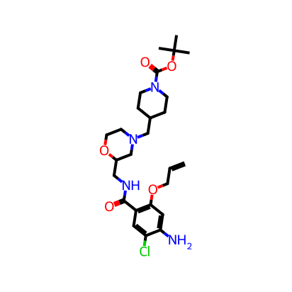 C=CCOc1cc(N)c(Cl)cc1C(=O)NCC1CN(CC2CCN(C(=O)OC(C)(C)C)CC2)CCO1